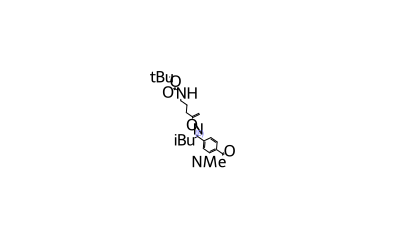 C=C(CCCNC(=O)OC(C)(C)C)O/N=C(/c1ccc(C(=O)NC)cc1)C(C)CC